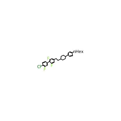 CCCCCCc1ccc(C2CCC(CCc3cc(F)c(-c4ccc(Cl)c(F)c4)c(F)c3)CC2)cc1